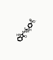 O=C1C(=NNC(=S)Nc2ccc([N+](=O)[O-])cc2)Nc2ccccc21